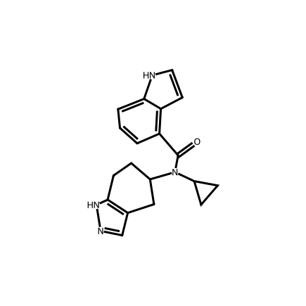 O=C(c1cccc2[nH]ccc12)N(C1CC1)C1CCc2[nH]ncc2C1